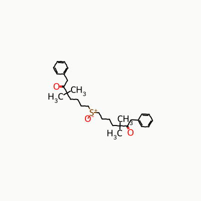 CC(C)(CCCC[S+]([O-])CCCCC(C)(C)C(=O)Cc1ccccc1)C(=O)Cc1ccccc1